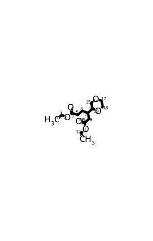 CCOC(=O)CCC(CC(=O)OCC)C1COCCO1